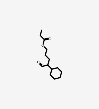 CCC(=O)OCCCC(C=O)C1CCCCC1